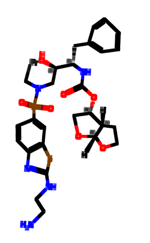 CC(C)CN(C[C@@H](O)[C@H](Cc1ccccc1)NC(=O)O[C@H]1CO[C@H]2OCC[C@H]21)S(=O)(=O)c1ccc2nc(NCCN)sc2c1